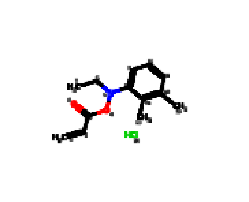 C=CC(=O)ON(CC)c1cccc(C)c1C.Cl